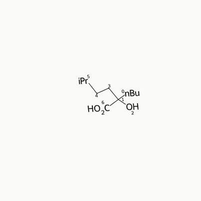 CCCCC(O)(CCC(C)C)C(=O)O